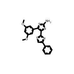 COc1cc(OC)cc(-c2sc(N)nc2-c2nc(-c3ccccc3)cs2)c1